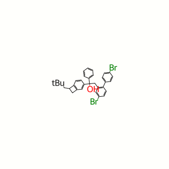 CC(C)(C)CC1Cc2cc(C(O)(Cc3cc(Br)ccc3-c3ccc(Br)cc3)c3ccccc3)ccc21